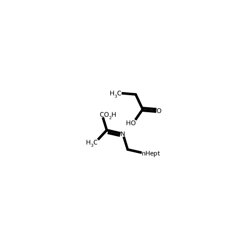 CCC(=O)O.CCCCCCCCN=C(C)C(=O)O